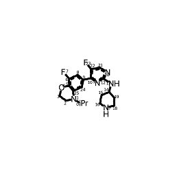 CC(C)N1CCOc2c(F)cc(-c3nc(NC4CCNCC4)ncc3F)cc21